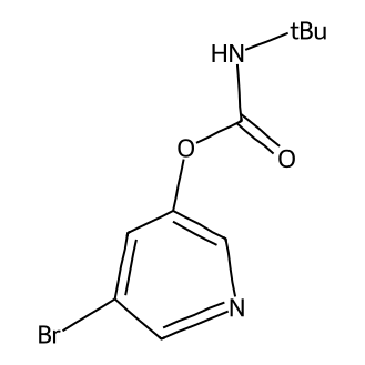 CC(C)(C)NC(=O)Oc1cncc(Br)c1